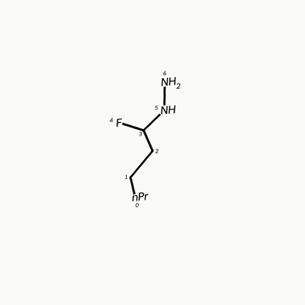 CCCCCC(F)NN